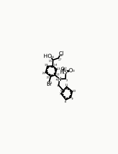 O=[SH](=O)CN(Cc1ccccc1)c1cc(C(O)CCl)ccc1Br